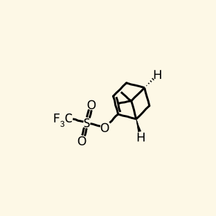 CC1(C)[C@H]2CC=C(OS(=O)(=O)C(F)(F)F)[C@H]1C2